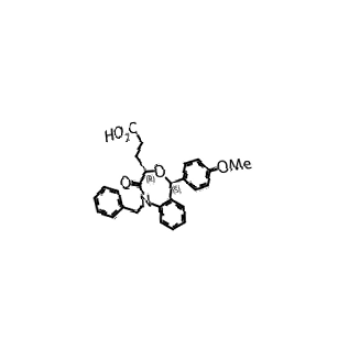 COc1ccc([C@@H]2O[C@H](CCC(=O)O)C(=O)N(Cc3ccccc3)c3ccccc32)cc1